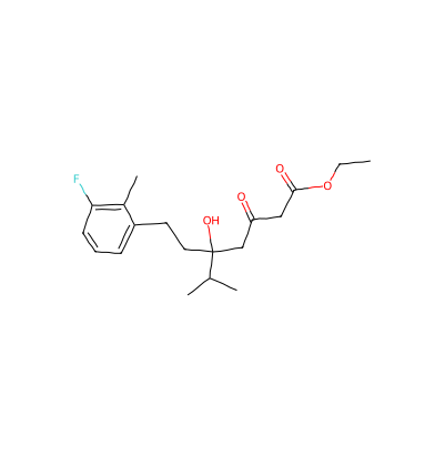 CCOC(=O)CC(=O)CC(O)(CCc1cccc(F)c1C)C(C)C